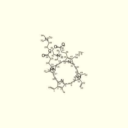 C=CC1=C(C)c2cc3[nH]c(cc4nc(cc5[nH]c(cc1n2)c(C)c5CCC(=O)OCC[N+](C)(C)C)C(CCC(=O)OCC[N+](C)(C)C)=C4C)c(C)c3C=C.[I-].[I-]